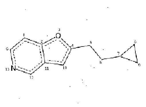 c1cc2oc(CCC3CC3)cc2cn1